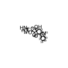 Cc1nc(OC(=O)C(=O)C2(CO)CCc3c(c4ccccc4n3C)C2=O)c[nH]1